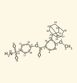 COc1ccc(C(=O)Oc2ccc(S(N)(=O)=O)cc2)cc1C12CC3CC(CC(C3)C1)C2